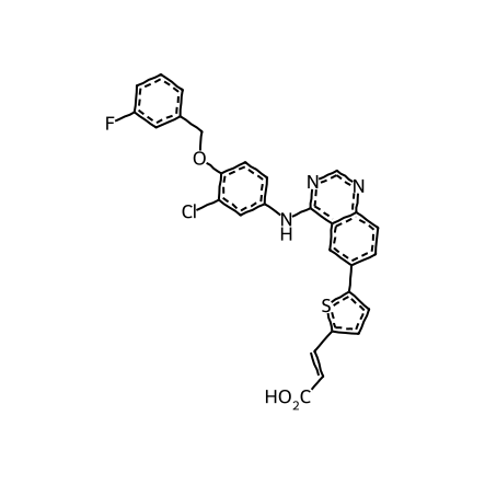 O=C(O)/C=C/c1ccc(-c2ccc3ncnc(Nc4ccc(OCc5cccc(F)c5)c(Cl)c4)c3c2)s1